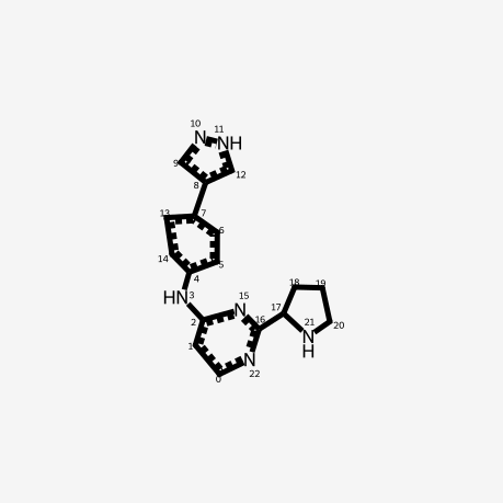 c1cc(Nc2ccc(-c3cn[nH]c3)cc2)nc(C2CCCN2)n1